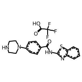 O=C(Nc1nc2ccccc2s1)c1ccc(N2CCNCC2)cc1.O=C(O)C(F)(F)F